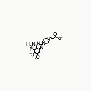 COc1cc2nc(N3CCN(C=CC(=O)C4CC4)CC3)nc(N)c2c(F)c1OC